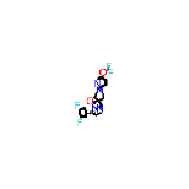 O=C1N2[C@H](c3cc(F)cc(F)c3)CCN2CC12CCN(c1ccc(OC(F)F)cn1)CC2